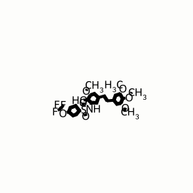 COc1cc(C=Cc2cc(OC)c(OC)c(OC)c2)cc(NS(=O)(=O)c2ccc(OC(F)(F)F)cc2)c1O